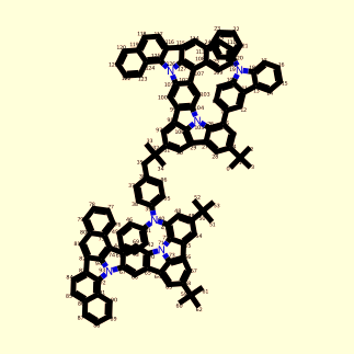 CC(C)(C)c1cc(-c2ccc3c(c2)c2ccccc2n3-c2ccccc2)c2c(c1)c1cc(C(C)(C)Cc3ccc(N(c4ccccc4)c4cc(C(C)(C)C)cc5c6cc(C(C)(C)C)cc7c8cc9c(cc8n(c45)c76)c4c5ccccc5cc5c6ccc7ccccc7c6n9c54)cc3)cc3c4cc5c(cc4n2c31)c1c2ccccc2cc2c3ccc4ccccc4c3n5c21